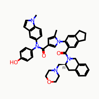 Cc1cc(C(=O)N(c2ccc(O)cc2)c2ccc3c(ccn3C)c2)cn1-c1cc2c(cc1C(=O)N1Cc3ccccc3C[C@H]1CN1CCOCC1)CCC2